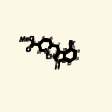 COC(=O)C1C=CC(Cc2c[nH]c3cccc(Br)c23)N(C)C1